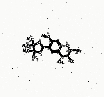 CCN([C@H](C)c1cc(B2OC(C)(C)C(C)(C)O2)c(OC)cn1)[S+]([O-])C(C)(C)C